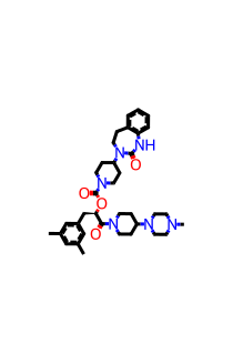 Cc1cc(C)cc(C[C@@H](OC(=O)N2CCC(N3CCc4ccccc4NC3=O)CC2)C(=O)N2CCC(N3CCN(C)CC3)CC2)c1